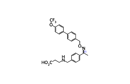 C/C(=N/OCc1ccc(-c2ccc(OC(F)(F)F)cc2)cc1)c1ccc(CNCCC(=O)O)cc1